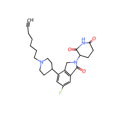 C#CCCCCCN1CCC(c2cc(F)cc3c2CN(C2CCC(=O)NC2=O)C3=O)CC1